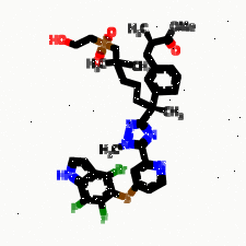 COC(=O)[C@H](C)Cc1cccc([C@@](C)(CCCC(C)(C)CS(=O)(=O)CCO)c2nc(-c3cc(Sc4c(F)c(F)c5[nH]ccc5c4Br)ccn3)n(C)n2)c1